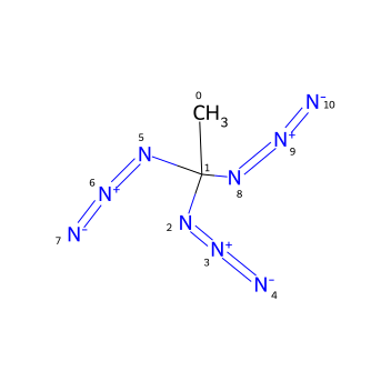 CC(N=[N+]=[N-])(N=[N+]=[N-])N=[N+]=[N-]